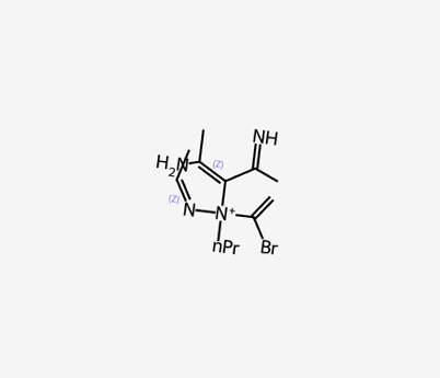 C=C(Br)[N+](CCC)(/N=C\C)/C(C(C)=N)=C(/C)N